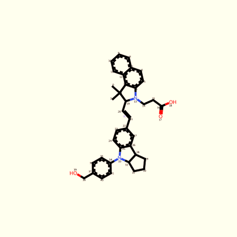 CC1(C)c2c(ccc3ccccc23)N(CCC(=O)O)C1/C=C/c1ccc2c(c1)C1CCCC1N2c1ccc(CO)cc1